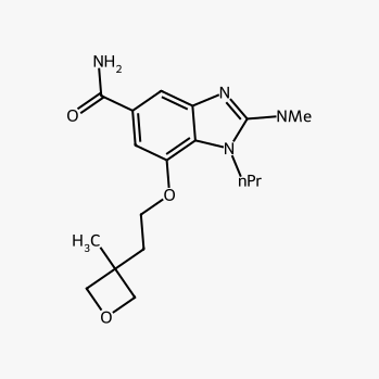 CCCn1c(NC)nc2cc(C(N)=O)cc(OCCC3(C)COC3)c21